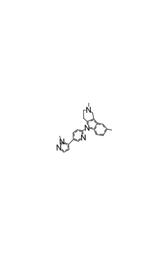 Cc1ccc2c(c1)c1c(n2-c2ccc(-c3ccnn3C)cn2)CCN(C)C1